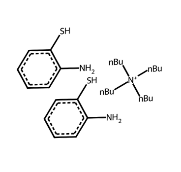 CCCC[N+](CCCC)(CCCC)CCCC.Nc1ccccc1S.Nc1ccccc1S